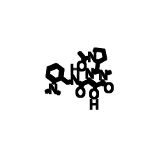 CC(=O)N1CCCC1c1nc(C(=O)NCc2ccccc2N(C)C)c(O)c(=O)n1C